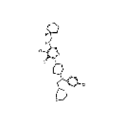 O=c1c(Cl)c(NC[C@@]2(F)CCCOC2)cnn1[C@H]1CC[C@H](N(C[C@@H]2COCCO2)c2ccc(Cl)cc2)CC1